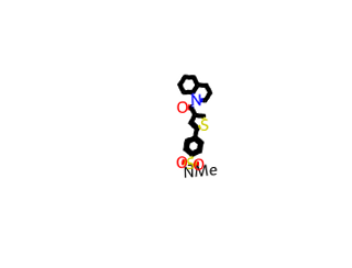 CNS(=O)(=O)c1ccc(C2=CC(C(=O)N3CCCC4CCCCC43)CS2)cc1